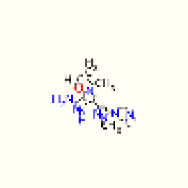 CC(C)C(C)n1cc(-c2cc(N3CCN4CCCC4C3)n(C)n2)c2[nH]nc(N)c2c1=O